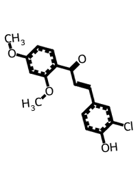 COc1ccc(C(=O)C=Cc2ccc(O)c(Cl)c2)c(OC)c1